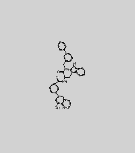 O=C(NC(Cc1c[nH]c2ccccc12)C(=O)NCc1cccc(-c2ccccc2)c1)c1cccc(-c2cc(O)c3ncccc3c2)c1